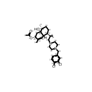 CC(=O)O[C@@H]1[CH][C@@]2(O)[C@H](C)CC[C@@H](C(C)CN3CCN(Cc4ccc(Cl)c(Cl)c4)CC3)[C@H]2C=C1C